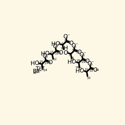 CC(O)C(=O)[O-].CC(O)C(=O)[O-].CC(O)C(=O)[O-].CC(O)C(=O)[O-].CC(O)C(=O)[O-].CC(O)C(=O)[O-].[Ba+2].[Ti+4]